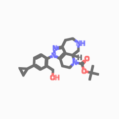 CC(C)(C)OC(=O)N1CCc2c3c(nn2-c2ccc(C4CC4)cc2CO)CCNC[C@@H]31